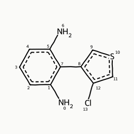 Nc1cccc(N)c1-c1cscc1Cl